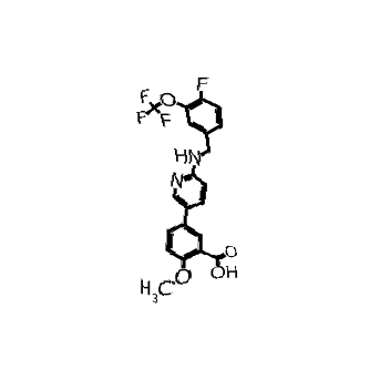 COc1ccc(-c2ccc(NCc3ccc(F)c(OC(F)(F)F)c3)nc2)cc1C(=O)O